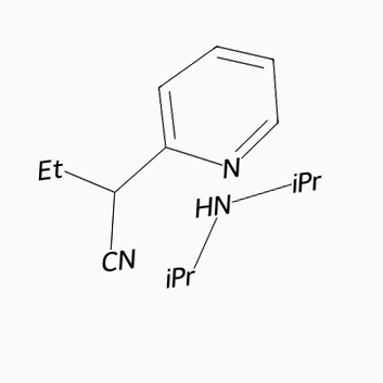 CC(C)NC(C)C.CCC(C#N)c1ccccn1